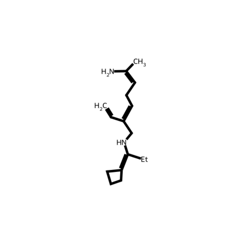 C=C/C(=C\CC=C(C)N)CNC(CC)=C1CCC1